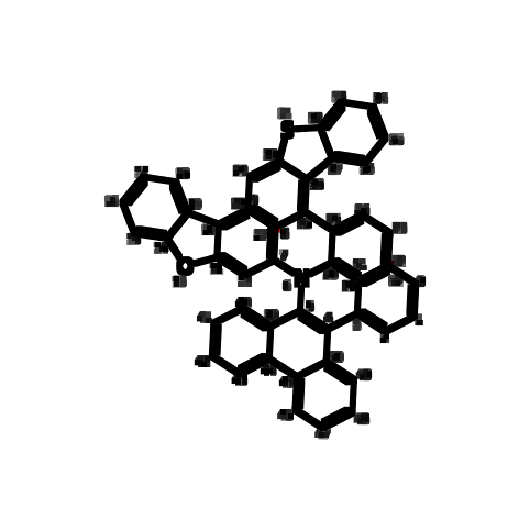 c1ccc(-c2c(N(c3ccc4c(c3)oc3ccccc34)c3ccccc3-c3cccc4sc5ccccc5c34)c3ccccc3c3ccccc23)cc1